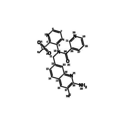 CS(=O)(=O)c1ncccc1N(Cc1ccc2cc(F)c(N)nc2c1)C(=O)c1cccnc1